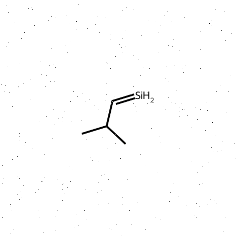 CC(C)C=[SiH2]